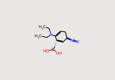 CCN(CC)C1=CCC(=[N+]=[N-])C=C1.OB(O)F